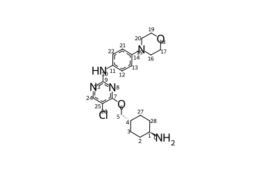 N[C@H]1CC[C@H](COc2nc(Nc3ccc(N4CCOCC4)cc3)ncc2Cl)CC1